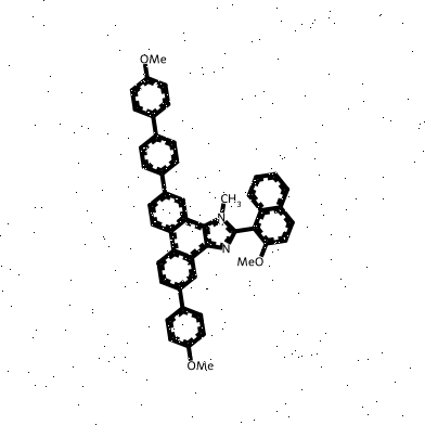 COc1ccc(-c2ccc(-c3ccc4c5ccc(-c6ccc(OC)cc6)cc5c5nc(-c6c(OC)ccc7ccccc67)n(C)c5c4c3)cc2)cc1